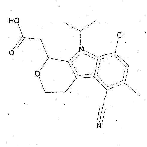 Cc1cc(Cl)c2c(c1C#N)c1c(n2C(C)C)C(CC(=O)O)OCC1